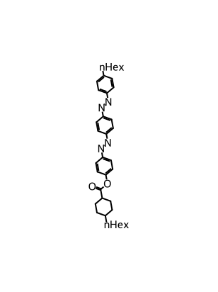 CCCCCCc1ccc(/N=N/c2ccc(/N=N/c3ccc(OC(=O)C4CCC(CCCCCC)CC4)cc3)cc2)cc1